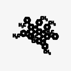 Cc1ccc(N2c3cc4c(cc3B3c5c2cc(-c2ccccc2C)cc5-n2c5ccc(C)cc5c5cc(C)cc3c52)B2c3c(cc(-c5ccccc5C)cc3-n3c5ccc(C)cc5c5ccc(C)c2c53)N4c2ccc(C)cc2)cc1